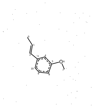 C/C=C/c1[c]c(OC)ccc1